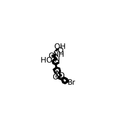 O=C(O)CNC(=O)c1ncc(C2=CCN(S(=O)(=O)Cc3ccc(Br)cc3)CC2)cc1O